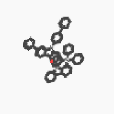 c1ccc(-c2ccc(-n3c4ccc(-n5c6ccccc6c6cccc([Si](c7ccccc7)(c7ccccc7)c7ccccc7)c65)cc4c4ccc(-c5ccccc5)cc43)cc2)cc1